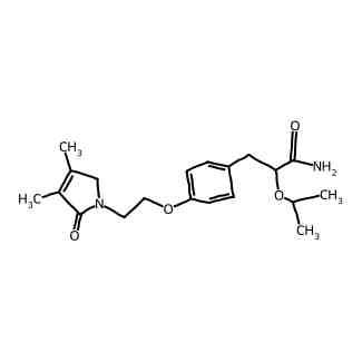 CC1=C(C)C(=O)N(CCOc2ccc(CC(OC(C)C)C(N)=O)cc2)C1